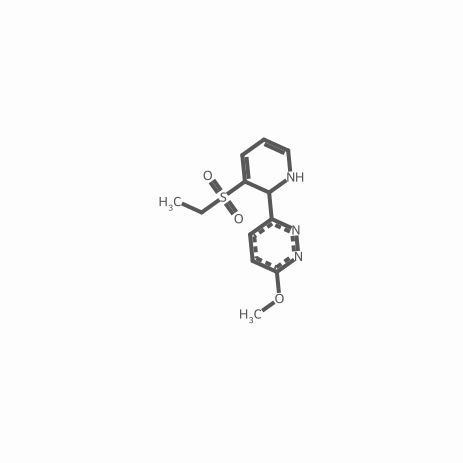 CCS(=O)(=O)C1=CC=CNC1c1ccc(OC)nn1